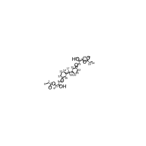 C=CC(=O)OC(C)C(O)COc1cccc(C(C)(C)c2cccc(OCC(O)C(C)OC(=O)C=C)c2)c1